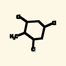 CC1C(Cl)CC(Cl)CC1Cl